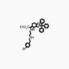 CCOC(=O)c1c2c(nn1CCCNCCc1ccc(Br)cc1)C1=C(CC2)NN(C(c2ccccc2)(c2ccccc2)c2ccccc2)C1